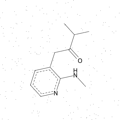 CNc1ncccc1CC(=O)C(C)C